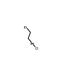 CCC[CH2][Be][Cl]